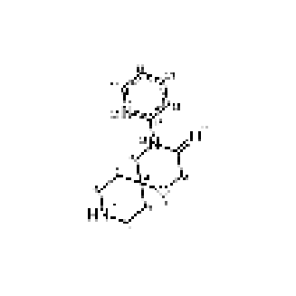 O=C1COC2(CCNCC2)CN1c1ccccn1